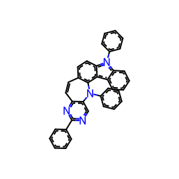 C1=Cc2nc(-c3ccccc3)ncc2N(c2ccccc2)c2c1ccc1c2c2ccccc2n1-c1ccccc1